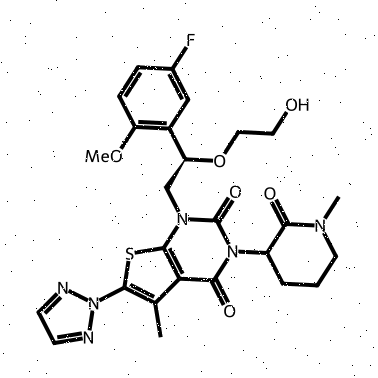 COc1ccc(F)cc1[C@H](Cn1c(=O)n(C2CCCN(C)C2=O)c(=O)c2c(C)c(-n3nccn3)sc21)OCCO